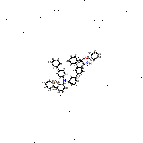 c1ccc(-c2ccc(N(c3cccc(-c4ccc5c6c(c7ccccc7c5c4)OC(c4ccccc4)N6)c3)c3cccc4c3sc3ccccc34)cc2)cc1